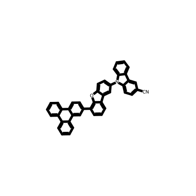 N#Cc1ccc2c(c1)c1ccccc1n2-c1ccc2oc3c(-c4ccc5c6ccccc6c6ccccc6c5c4)cccc3c2c1